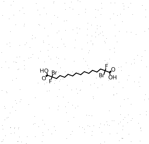 O=C(O)C(F)(Br)CCCCCCCCCCCCC(F)(Br)C(=O)O